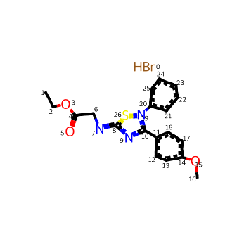 Br.CCOC(=O)CN=c1nc(-c2ccc(OC)cc2)n(-c2ccccc2)s1